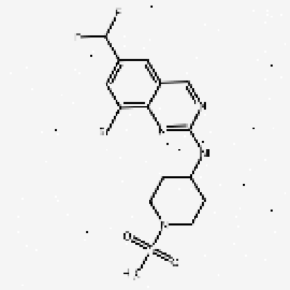 CS(=O)(=O)N1CCC(Nc2ncc3cc(C(F)F)cc(Br)c3n2)CC1